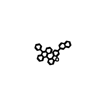 c1ccc(-c2c3ccccc3c(-c3cccc4oc5cc(-c6ccc7ccccc7c6)ccc5c34)c3ccccc23)cc1